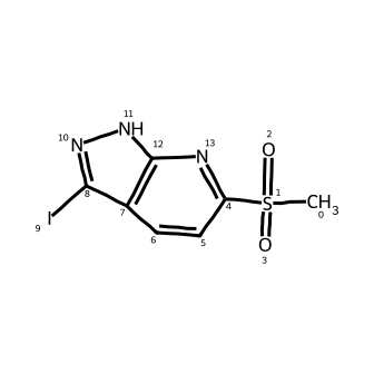 CS(=O)(=O)c1ccc2c(I)n[nH]c2n1